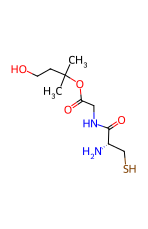 CC(C)(CCO)OC(=O)CNC(=O)[C@@H](N)CS